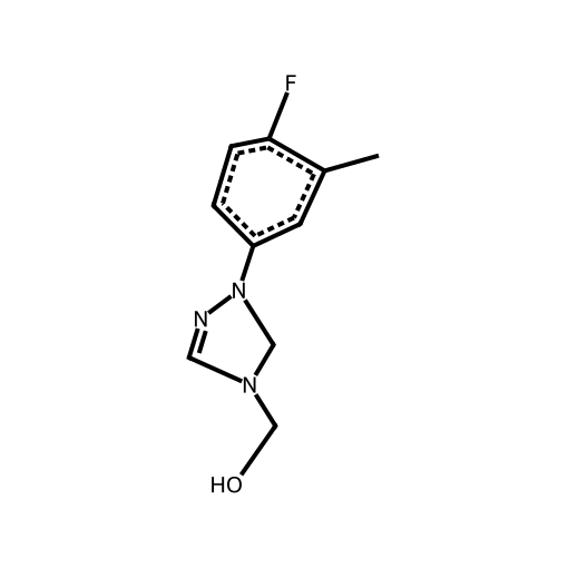 Cc1cc(N2CN(CO)C=N2)ccc1F